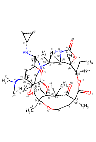 CC[C@H]1OC(=O)[C@@]2(C)CCO[C@@](C)(C[C@@H](C)CN(C)[C@H](C)[C@H]3NC(=O)O[C@@]31C)[C@H](O[C@@H]1O[C@H](CNC3CC3)C[C@H](N(C)C)[C@H]1O)[C@@H](C)C2=O